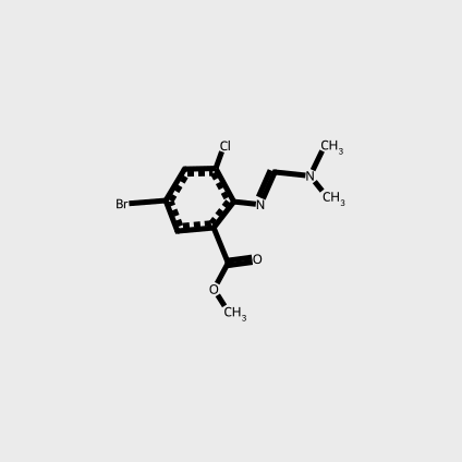 COC(=O)c1cc(Br)cc(Cl)c1/N=C/N(C)C